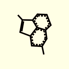 CC1=Cc2cc(C)cc3cccc1c23